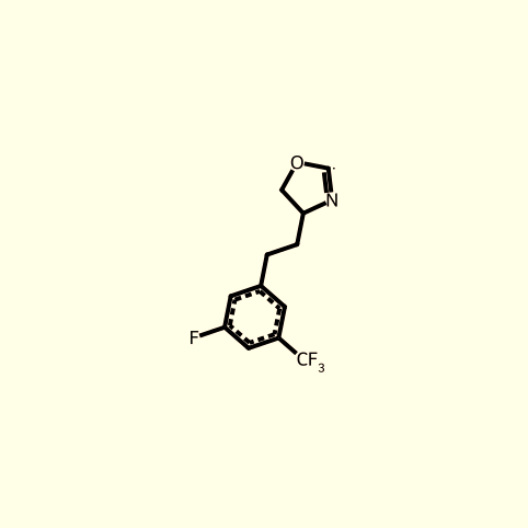 Fc1cc(CCC2CO[C]=N2)cc(C(F)(F)F)c1